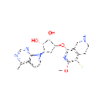 COc1nc(O[C@H]2C[C@@H](n3ccc4c(C)ncnc43)[C@H](O)[C@@H]2O)c2c(c1F)CCNC2